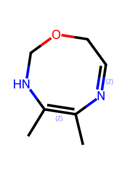 CC1=C(\C)NCOC/C=N\1